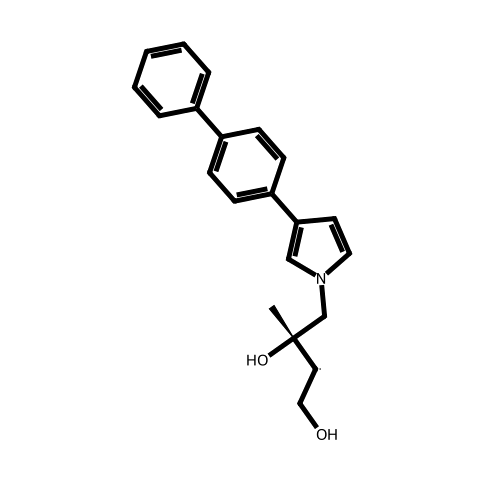 C[C@](O)([CH]CO)Cn1ccc(-c2ccc(-c3ccccc3)cc2)c1